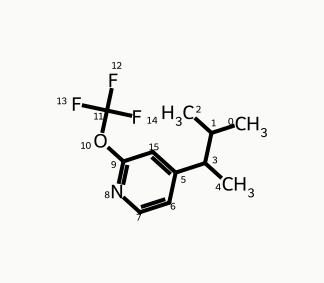 CC(C)C(C)c1ccnc(OC(F)(F)F)c1